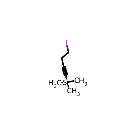 C[Si](C)(C)C#CCCI